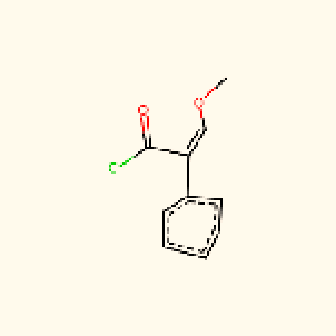 COC=C(C(=O)Cl)c1ccccc1